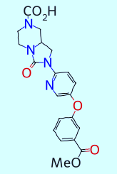 COC(=O)c1cccc(Oc2ccc(N3CC4CN(C(=O)O)CCN4C3=O)nc2)c1